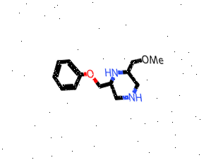 COCC1CNCC(COc2ccccc2)N1